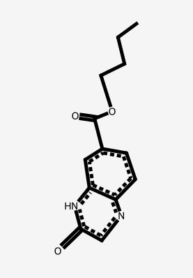 CCCCOC(=O)c1ccc2ncc(=O)[nH]c2c1